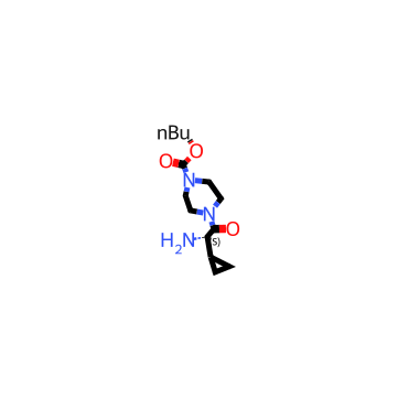 CCCCOC(=O)N1CCN(C(=O)[C@@H](N)C2CC2)CC1